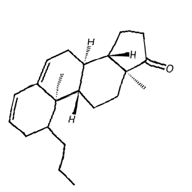 CCCC1CC=CC2=CC[C@H]3[C@@H]4CCC(=O)[C@@]4(C)CC[C@@H]3[C@]21C